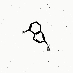 CCOc1ccc2c(c1)CCC=C2Br